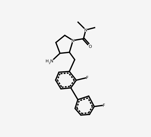 CN(C)C(=O)N1CCC(N)C1Cc1cccc(-c2cccc(F)c2)c1F